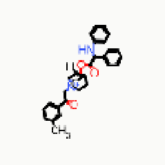 Cc1cccc(C(=O)C[N+]23CCC(CC2)[C@@H](OC(=O)C(Nc2ccccc2)c2ccccc2)C3)c1